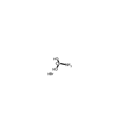 Br.[NH2][Co]([OH])[OH]